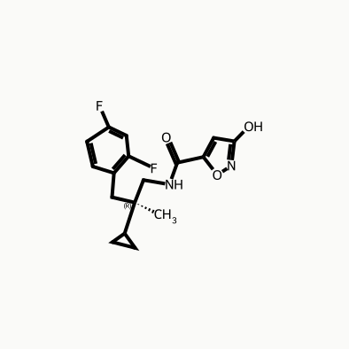 C[C@@](CNC(=O)c1cc(O)no1)(Cc1ccc(F)cc1F)C1CC1